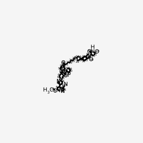 CCOc1cc(-c2ccc(N3CCC(CN4CCN(C(=O)CCCCCCN5CCN(c6ccc7c(c6)CN(C6CCC(=O)NC6=O)C7=O)CC5)CC4)(NC(=O)c4ncccc4F)CC3)nc2)c2c(C#N)cnn2c1